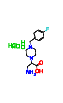 Cl.Cl.Cl.NCC(C(=O)O)N1CCN(Cc2ccc(F)cc2)CC1